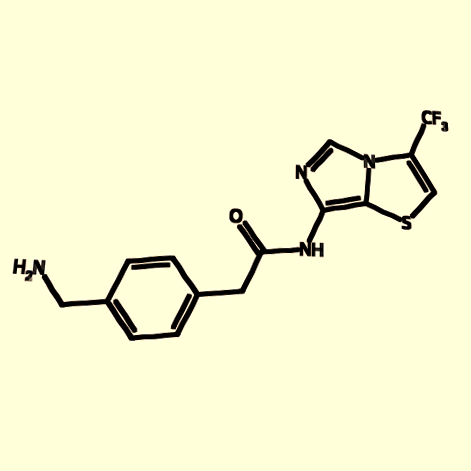 NCc1ccc(CC(=O)Nc2ncn3c(C(F)(F)F)csc23)cc1